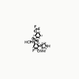 COc1c(F)cc(NS(=O)(=O)c2cccc(OC(F)F)c2)cc1N1CCNCC1.Cl